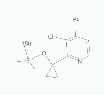 [CH2]C(=O)c1ccnc(C2(O[Si](C)(C)C(C)(C)C)CC2)c1Cl